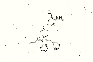 CCCOC(c1ccccc1)C1(CCc2ccccc2)CCN(Cc2ccc(N)c(CO)c2)CC1